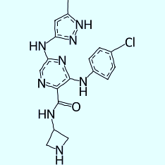 Cc1cc(Nc2cnc(C(=O)NC3CNC3)c(Nc3ccc(Cl)cc3)n2)n[nH]1